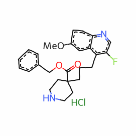 COc1ccc2ncc(F)c(CCCC3(C(=O)OCc4ccccc4)CCNCC3)c2c1.Cl